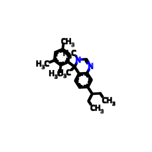 CCC(CC)c1ccc2c(c1)N=CN(C)C2(C)c1cc(C)cc(C)c1C